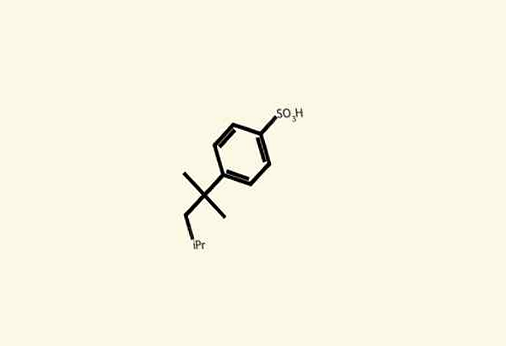 CC(C)CC(C)(C)c1ccc(S(=O)(=O)O)cc1